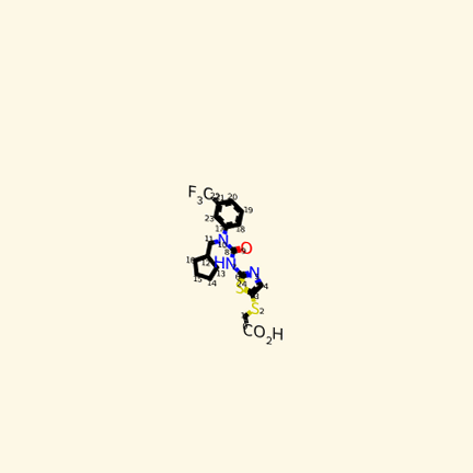 O=C(O)CSc1cnc(NC(=O)N(CC2CCCC2)c2cccc(C(F)(F)F)c2)s1